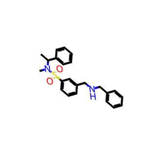 CC(c1ccccc1)N(C)S(=O)(=O)c1cccc(CNCc2ccccc2)c1